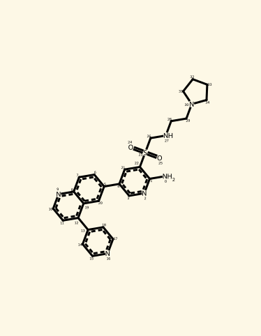 Nc1ncc(-c2ccc3nccc(-c4ccncc4)c3c2)cc1S(=O)(=O)CNCCN1CCCC1